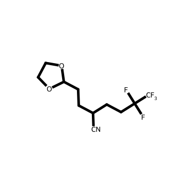 N#CC(CCC1OCCO1)CCC(F)(F)C(F)(F)F